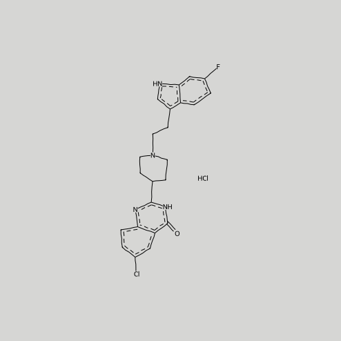 Cl.O=c1[nH]c(C2CCN(CCc3c[nH]c4cc(F)ccc34)CC2)nc2ccc(Cl)cc12